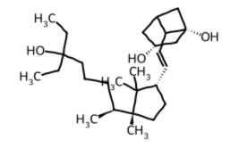 CCC(O)(CC)CCC[C@H](C)[C@@]1(C)CC[C@@H](/C=C/C2C3C[C@@H](O)C[C@]2(O)C3)C1(C)C